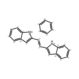 c1ccc2[nH]c(N=Nc3cc4ccccc4[nH]3)cc2c1.c1ccccc1